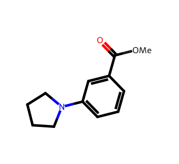 COC(=O)c1cccc(N2CCCC2)c1